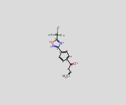 C=CCC(=O)c1ccc(-c2noc(C(F)(F)F)n2)cc1